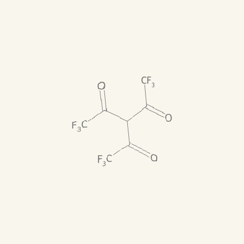 O=C(C(C(=O)C(F)(F)F)C(=O)C(F)(F)F)C(F)(F)F